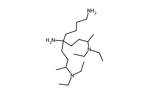 CCN(CC)C(C)CCC(N)(CCCCN)CCC(C)N(CC)CC